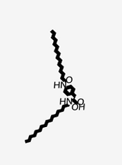 CCCCCCCCCCCCCCCCN[C@@H](Cc1ccc(NC(=O)CCCCCCCCCCCCCCC)cc1)C(=O)O